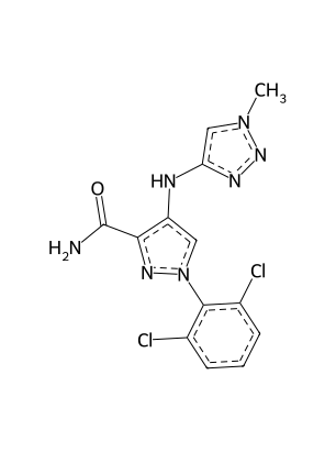 Cn1cc(Nc2cn(-c3c(Cl)cccc3Cl)nc2C(N)=O)nn1